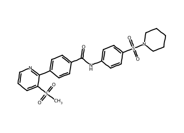 CS(=O)(=O)c1cccnc1-c1ccc(C(=O)Nc2ccc(S(=O)(=O)N3CCCCC3)cc2)cc1